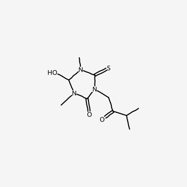 CC(C)C(=O)CN1C(=O)N(C)C(O)N(C)C1=S